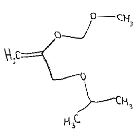 C=C(COC(C)C)OCOC